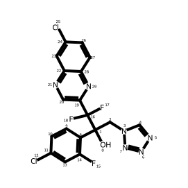 OC(Cn1cnnn1)(c1ccc(Cl)cc1F)C(F)(F)c1cnc2cc(Cl)ccc2n1